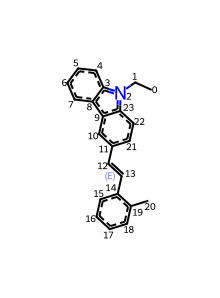 CCn1c2ccccc2c2cc(/C=C/c3ccccc3C)ccc21